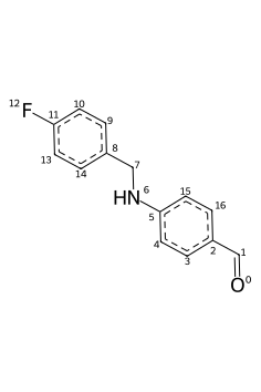 O=Cc1ccc(NCc2ccc(F)cc2)cc1